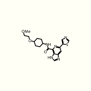 COCCOC1CCC(NC(=O)c2nc(-c3cncs3)cc3nc[nH]c23)CC1